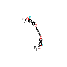 Fc1cc(-c2ccc(OCCCCCCCCCOc3ccc(-c4ccc(OC(F)(F)F)c(F)c4)cc3)cc2)ccc1OC(F)(F)F